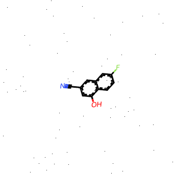 N#Cc1cc(O)c2ccc(F)cc2c1